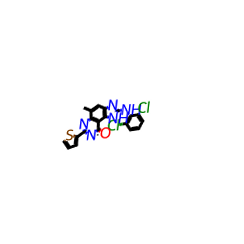 Cc1cc2nc(Nc3c(Cl)cccc3Cl)[nH]c2c2c1N=C(c1cccs1)[N]C2=O